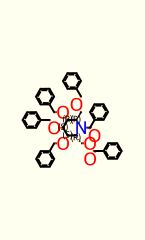 O=C(OC[C@@H]1[C@H](OCc2ccccc2)[C@@H](OCc2ccccc2)[C@H](OCc2ccccc2)[C@@H](COCc2ccccc2)N1C(=O)c1ccccc1)c1ccccc1